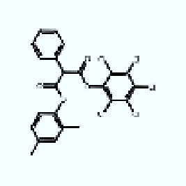 Cc1ccc(OC(=O)C(C(=O)Oc2c(Cl)c(Cl)c(Cl)c(Cl)c2Cl)c2ccccc2)c(C)c1